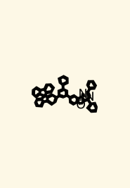 c1ccc(-c2cc(-c3ccc4c(c3)C3(c5ccccc5-c5ccccc53)c3ccccc3-4)cc(-c3ccc4oc5c(-c6ccccc6)nc(-c6ccccc6)nc5c4c3)c2)cc1